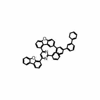 C1=CCCC(c2cccc(-c3cccc(-c4ccc5oc6cccc(-c7cc(-c8cccc9c8oc8ccccc89)nc(-c8ccccc8)n7)c6c5c4)c3)c2)=C1